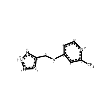 FC(F)(F)c1cc(SCc2nn[nH]n2)ccn1